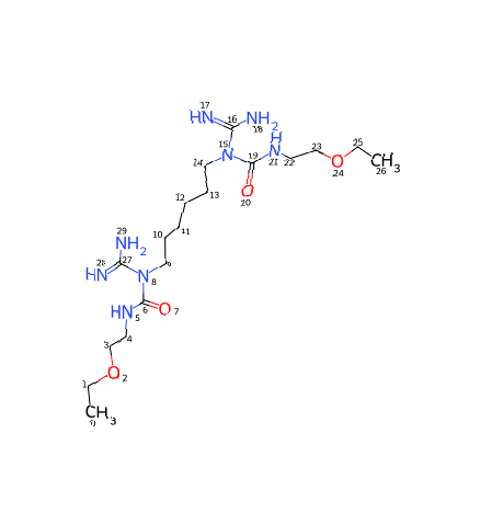 CCOCCNC(=O)N(CCCCCCN(C(=N)N)C(=O)NCCOCC)C(=N)N